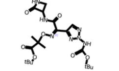 CC(C)(C)OC(=O)Nn1ncc(/C(=N/OC(C)(C)C(=O)OC(C)(C)C)C(=O)NC2CNC2=O)n1